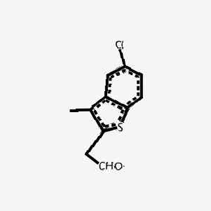 Cc1c(C[C]=O)sc2ccc(Cl)cc12